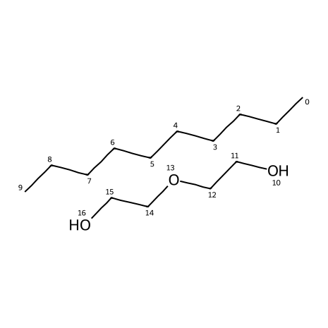 CCCCCCCCCC.OCCOCCO